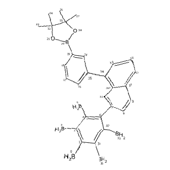 Bc1c(B)c(B)c(-c2ccc3cccc(-c4cccc(B5OC(C)(C)C(C)(C)O5)c4)c3c2)c(B)c1B